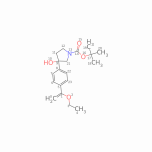 C=C(OCC)c1ccc(C2(O)CCN(C(=O)OC(C)(C)C)C2)cc1